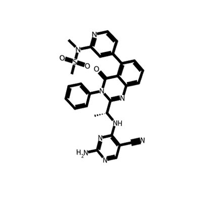 C[C@@H](Nc1nc(N)ncc1C#N)c1nc2cccc(-c3ccnc(N(C)S(C)(=O)=O)c3)c2c(=O)n1-c1ccccc1